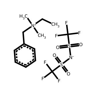 CC[N+](C)(C)Cc1ccccc1.O=S(=O)([N-]S(=O)(=O)C(F)(F)F)C(F)(F)F